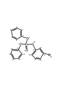 O=P(Oc1ccccc1)(Oc1ccccc1)Oc1cccc(Br)c1